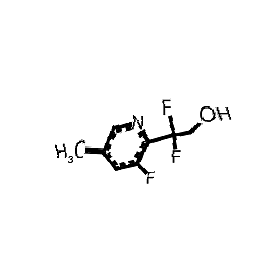 Cc1cnc(C(F)(F)CO)c(F)c1